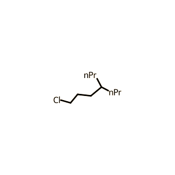 CCCC(CCC)CCCCl